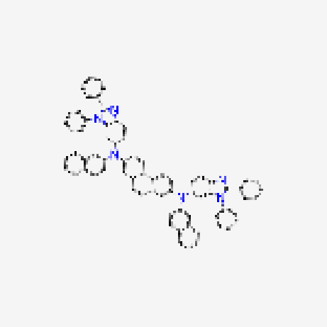 C1=CC2c3ccc(N(c4ccc5ccccc5c4)c4ccc5nc(-c6ccccc6)n(-c6ccccc6)c5c4)cc3C=CC2C=C1N(c1ccc2ccccc2c1)C1C=Cc2nc(-c3ccccc3)n(-c3ccccc3)c2C1